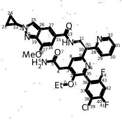 CCOc1c(CC(N)=O)cc([C@@H](CNC(=O)c2cc(OC)c3nn(C4CC4)cc3c2)c2ccccn2)nc1-c1cc(Cl)c(F)cc1F